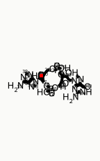 Nc1nc2c(ncn2C2O[C@H]3COP(=O)(O)OC4C(O)C(COP(=O)(O)OC3C2O)OC4n2cnc3c(N)ncnc32)c(=O)[nH]1